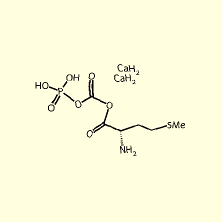 CSCC[C@H](N)C(=O)OC(=O)OP(=O)(O)O.[CaH2].[CaH2]